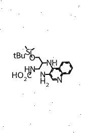 CC(C)(C)[Si](C)(C)OCC(CNC(=O)O)Nc1c(N)cnc2ccccc12